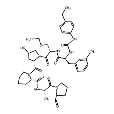 CCOC[C@H](NC(=O)[C@H](Cc1cccc(C)c1)NC(=O)Nc1ccc(CC)cc1)C(=O)N1C[C@H](O)C[C@H]1C(=O)N1CCCC[C@H]1C(=O)N[C@@H](C)C(=O)N1CCC[C@H]1C=O